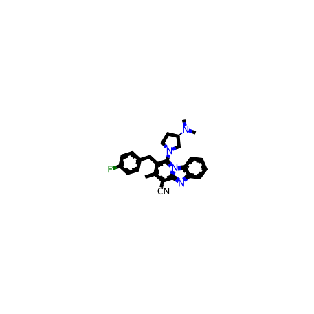 Cc1c(Cc2ccc(F)cc2)c(N2CC[C@H](N(C)C)C2)n2c(nc3ccccc32)c1C#N